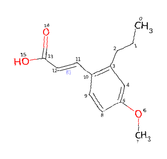 CCCc1cc(OC)ccc1/C=C/C(=O)O